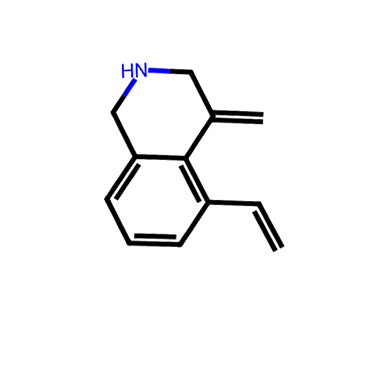 C=Cc1cccc2c1C(=C)CNC2